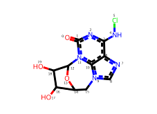 O=c1nc(NCl)c2ncn3c2n1C1OC(C3)C(O)C1O